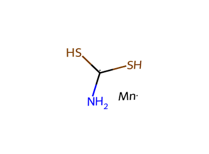 N[C](S)S.[Mn]